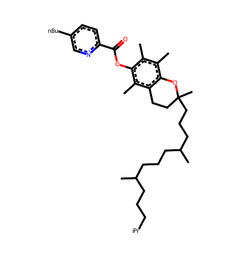 CCCCc1ccc(C(=O)Oc2c(C)c(C)c3c(c2C)CCC(C)(CCCC(C)CCCC(C)CCCC(C)C)O3)nc1